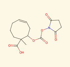 CC1(C(=O)O)CCCC=CCC1OC(=O)ON1C(=O)CCC1=O